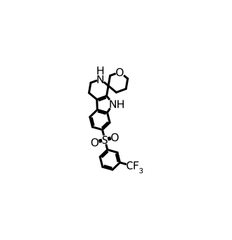 O=S(=O)(c1cccc(C(F)(F)F)c1)c1ccc2c3c([nH]c2c1)C1(CCCOC1)NCC3